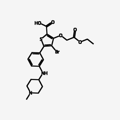 CCOC(=O)COc1c(C(=O)O)sc(-c2cccc(NC3CCN(C)CC3)c2)c1Br